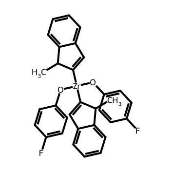 CC1[C]([Zr]([O]c2ccc(F)cc2)([O]c2ccc(F)cc2)[C]2=Cc3ccccc3C2C)=Cc2ccccc21